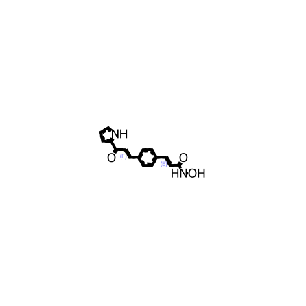 O=C(/C=C/c1ccc(/C=C/C(=O)c2ccc[nH]2)cc1)NO